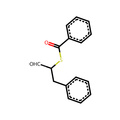 O=[C]C(Cc1ccccc1)SC(=O)c1ccccc1